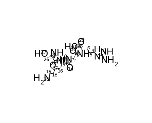 N=C(N)NCCC[C@H](NC(=O)CNC(=O)[C@H](CCCCN)NC(=O)[C@@H](N)CO)C(=O)O